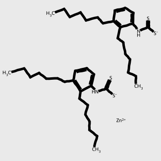 CCCCCCCc1cccc(NC(=S)[S-])c1CCCCCCC.CCCCCCCc1cccc(NC(=S)[S-])c1CCCCCCC.[Zn+2]